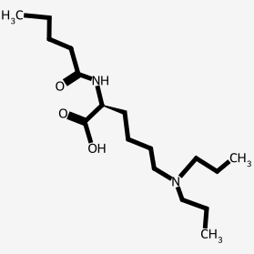 CCCCC(=O)N[C@@H](CCCCN(CCC)CCC)C(=O)O